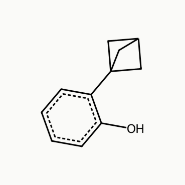 Oc1ccccc1C12CC(C1)C2